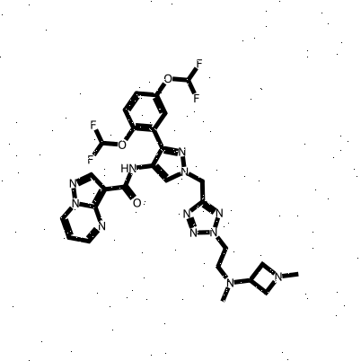 CN1CC(N(C)CCn2nnc(Cn3cc(NC(=O)c4cnn5cccnc45)c(-c4cc(OC(F)F)ccc4OC(F)F)n3)n2)C1